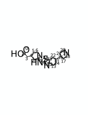 O=C(O)Cc1ccnc(Nc2nc3ccc(-c4ccncc4)cc3s2)c1